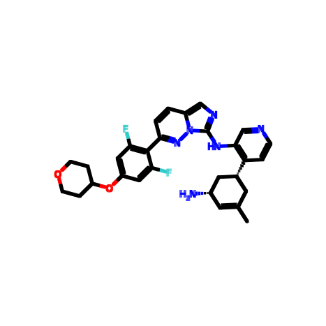 CC1=C[C@H](N)C[C@H](c2ccncc2Nc2ncc3ccc(-c4c(F)cc(OC5CCOCC5)cc4F)nn23)C1